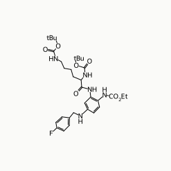 CCOC(=O)Nc1ccc(NCc2ccc(F)cc2)cc1NC(=O)C(CCCCNC(=O)OC(C)(C)C)NC(=O)OC(C)(C)C